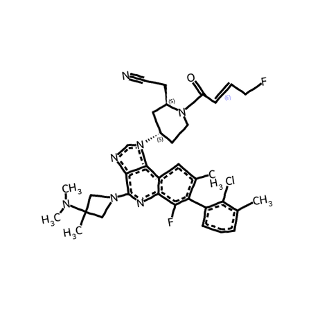 Cc1cccc(-c2c(C)cc3c(nc(N4CC(C)(N(C)C)C4)c4ncn([C@H]5CCN(C(=O)/C=C/CF)[C@H](CC#N)C5)c43)c2F)c1Cl